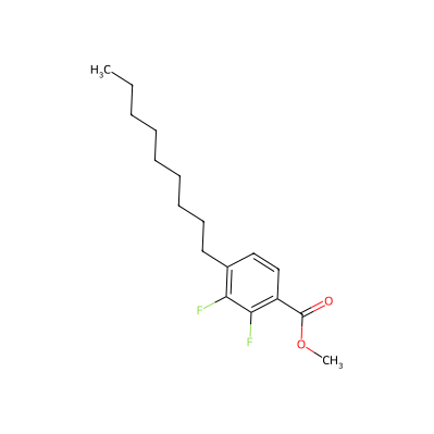 CCCCCCCCCc1ccc(C(=O)OC)c(F)c1F